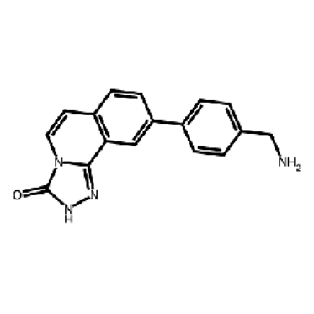 NCc1ccc(-c2ccc3ccn4c(=O)[nH]nc4c3c2)cc1